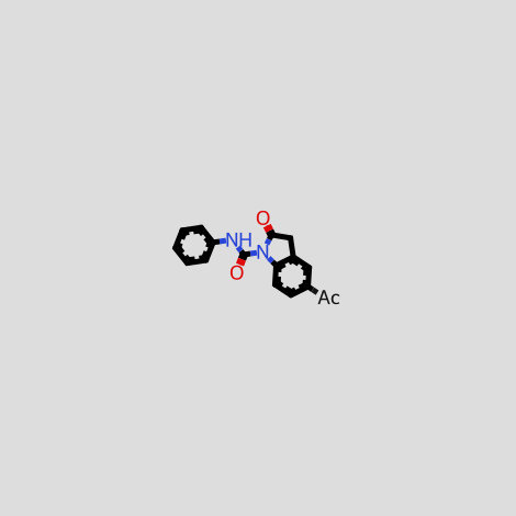 CC(=O)c1ccc2c(c1)CC(=O)N2C(=O)Nc1ccccc1